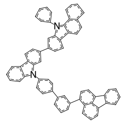 c1ccc(-n2c3cc(-c4ccc5c6ccccc6n(-c6ccc(-c7cccc(-c8ccc9c%10c(cccc8%10)-c8ccccc8-9)c7)cc6)c5c4)ccc3c3ccc4ccccc4c32)cc1